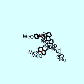 COc1ccc(CN(Cc2ccc(OC)cc2)S(=O)(=O)c2c(S(=O)(=O)NCCNC(=O)OC(C)(C)C)ccc(-c3cccc4sc(C#N)nc34)c2-c2nnn(Cc3ccc(OC)cc3)n2)cc1